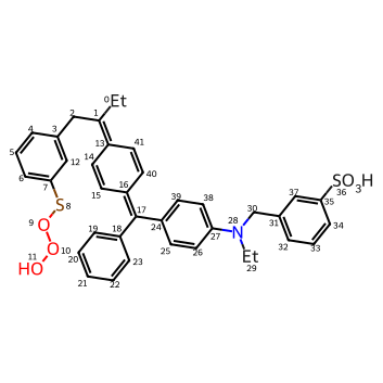 CCC(Cc1cccc(SOOO)c1)=c1ccc(=C(c2ccccc2)c2ccc(N(CC)Cc3cccc(S(=O)(=O)O)c3)cc2)cc1